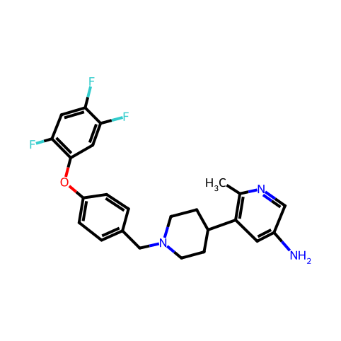 Cc1ncc(N)cc1C1CCN(Cc2ccc(Oc3cc(F)c(F)cc3F)cc2)CC1